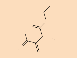 C=C(CC(=O)OCC)C(=O)O.[BaH2]